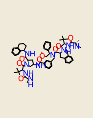 CN[C@@H](C)C(=O)NC(C(=O)N1CC(NC(=O)c2cccc(CN(C(=O)C3Cc4ccccc4CN3C(=O)C(NC(=O)[C@H](C)NC)C(C)(C)C)C(COC)c3ccccc3)c2)CC1C(=O)NC1CCCc2ccccc21)C(C)(C)C